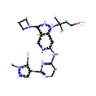 Cn1ncc(C2=NCCC(Nc3cc4c(cn3)c(N3CCC3)nn4C(C)(C)CCO)=N2)c1O